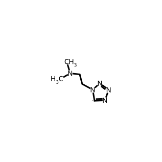 CN(C)CCn1[c]nnn1